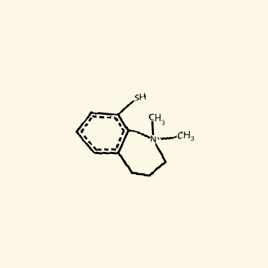 C[N+]1(C)CCCc2cccc(S)c21